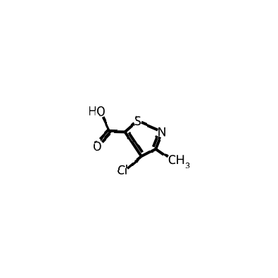 Cc1nsc(C(=O)O)c1Cl